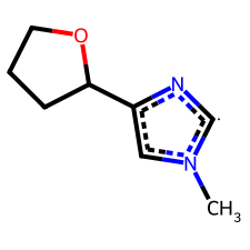 Cn1[c]nc(C2CCCO2)c1